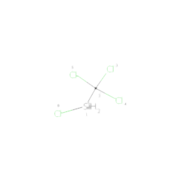 Cl[SiH2]C(Cl)(Cl)Cl